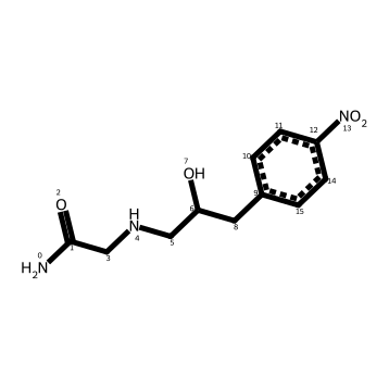 NC(=O)CNCC(O)Cc1ccc([N+](=O)[O-])cc1